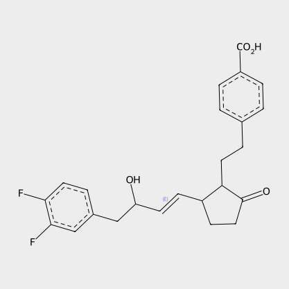 O=C(O)c1ccc(CCC2C(=O)CCC2/C=C/C(O)Cc2ccc(F)c(F)c2)cc1